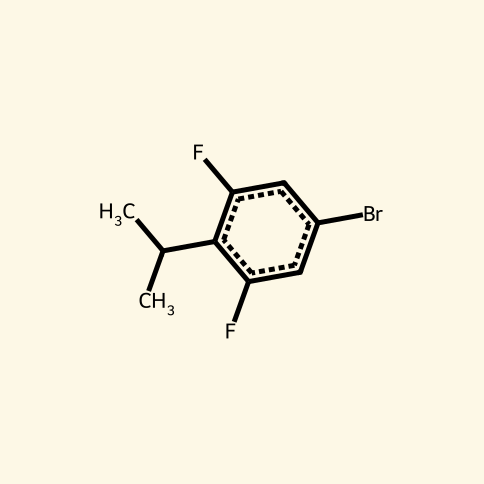 C[C](C)c1c(F)cc(Br)cc1F